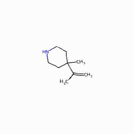 C=C(C)C1(C)CCNCC1